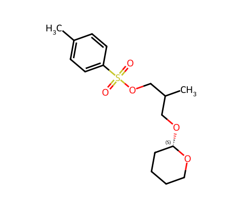 Cc1ccc(S(=O)(=O)OCC(C)CO[C@H]2CCCCO2)cc1